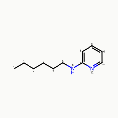 CCCCCCNc1c[c]ccn1